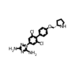 Nc1nc(N)n(-c2cc(Cl)c(-c3ccc(OC[C@@H]4CCCN4)cc3)c(Cl)c2)n1